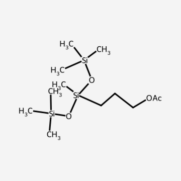 CC(=O)OCCC[Si](C)(O[Si](C)(C)C)O[Si](C)(C)C